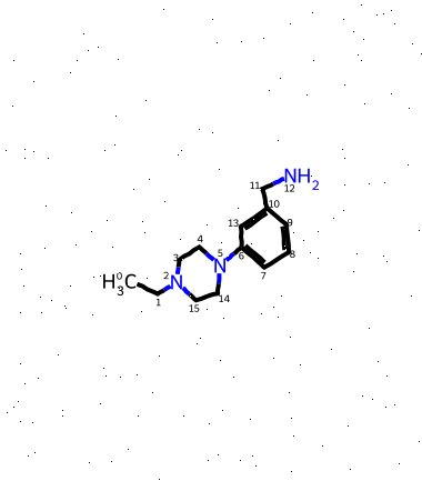 CCN1CCN(c2cccc(CN)c2)CC1